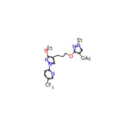 CCOc1nn(-c2ccc(C(F)(F)F)cn2)cc1CCCOc1nn(CC)cc1OC(C)=O